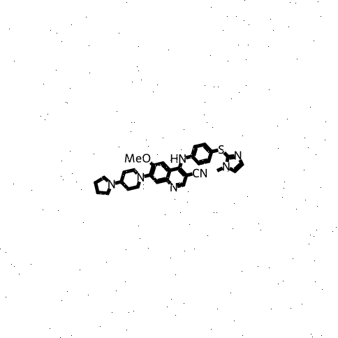 COc1cc2c(Nc3ccc(Sc4nccn4C)cc3)c(C#N)cnc2cc1N1CCC(N2CCCC2)CC1